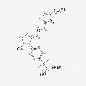 CCCCCC(O)C(C)(C)c1ccc(C2C(Cl)CCC2COCc2ccc(C(=O)OCC)s2)cc1